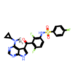 CN(c1ncnc2[nH]cc(C(=O)c3c(F)ccc(NS(=O)(=O)c4ccc(F)cc4)c3F)c12)C1CC1